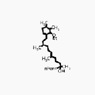 CCCCCC(C)(O)CCC/C(C)=C/CCC(C)CCC1=CCC(C)C(C)C1OCC